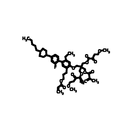 C=CC(=O)OCCCc1cc(-c2ccc(C3CCC(CCCCC)CC3)cc2F)c(CC)cc1OCC(COC(=O)C(=C)C)(COC(=O)C(=O)CCOC)COC(=O)C(=O)CCOC